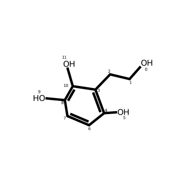 OCCc1c(O)ccc(O)c1O